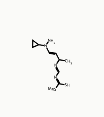 CS/C(S)=N/C=N/C(C)C=CN(N)C1CC1